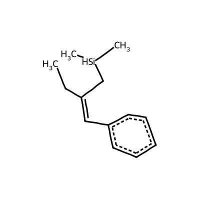 CCC(=Cc1ccccc1)C[SiH](C)C